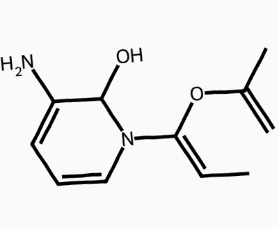 C=C(C)O/C(=C\C)N1C=CC=C(N)C1O